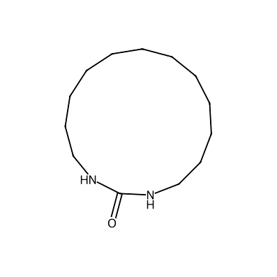 O=C1NCCCCCCCCCCCCN1